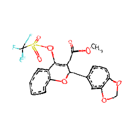 COC(=O)C1=C(OS(=O)(=O)C(F)(F)F)c2ccccc2OC1c1ccc2c(c1)OCO2